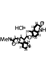 CNC(=O)CN(CCCOc1ccc2[nH]c(=O)ccc2c1C)Cc1ccncc1.Cl